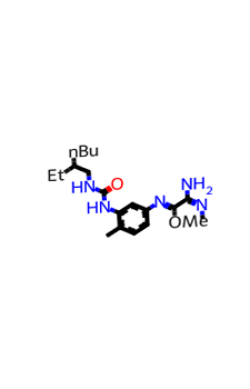 CCCCC(CC)CNC(=O)Nc1cc(/N=C(OC)/C(N)=N\C)ccc1C